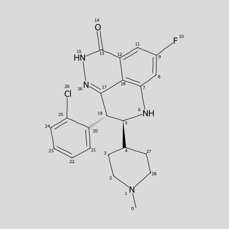 CN1CCC([C@@H]2Nc3cc(F)cc4c(=O)[nH]nc(c34)[C@H]2c2ccccc2Cl)CC1